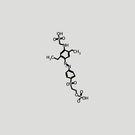 CCc1cc(NCS(=O)(=O)O)c(CC)cc1/N=N/c1ccc(S(=O)(=O)CCOS(=O)(=O)O)cc1